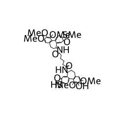 COc1cc2c(c(OC)c1O)-c1ccc(S)c(=O)cc1[C@@H](NC(=O)CCCCC(=O)N[C@H]1CCc3cc(OC)c(OC)c(OC)c3-c3ccc(SC)c(=O)cc31)CC2